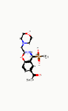 COC(=O)c1ccc(OCCN2CCOCC2)c(C(N)S(C)(=O)=O)c1